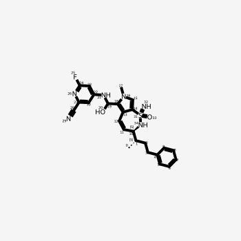 C[C@@H](CCc1ccccc1)[C@H]1C=Cc2c(cn(C)c2C(O)Nc2cc(F)nc(C#N)c2)S(=N)(=O)N1